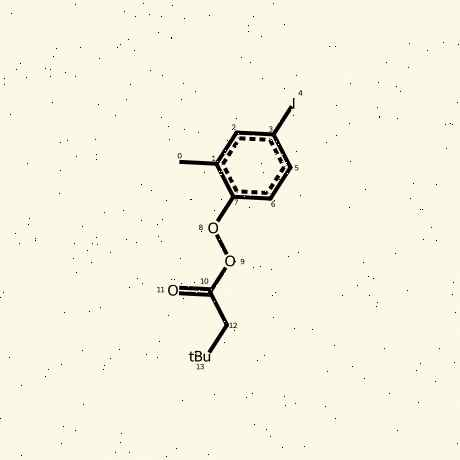 Cc1cc(I)ccc1OOC(=O)CC(C)(C)C